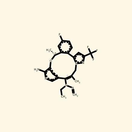 C=NN(CC)/C1=C(\C)Cn2nc(C(F)(F)F)cc2-c2ccc(F)cc2[C@@H](C)Oc2cc1cnc2N